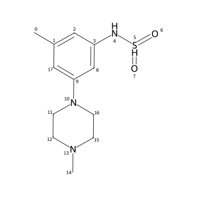 Cc1cc(N[SH](=O)=O)cc(N2CCN(C)CC2)c1